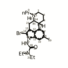 CCCN1CCC[C@@H]2c3cc(I)cc4c3c(c(Br)n4NC(=O)N(CC)CC)C[C@H]21